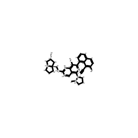 C#Cc1c(F)ccc2cccc(-c3nc(N4CCCN4C)c4cnc(OC[C@@]56CCCN5C[C@H](F)C6)nc4c3F)c12